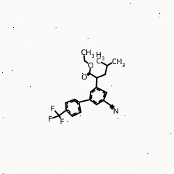 CCOC(=O)C(CC(C)C)c1cc(C#N)cc(-c2ccc(C(F)(F)F)cc2)c1